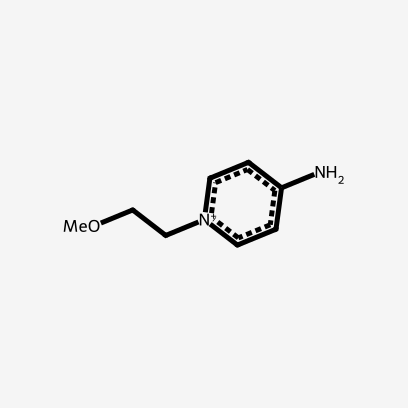 COCC[n+]1ccc(N)cc1